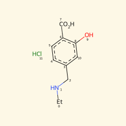 CCNCc1ccc(C(=O)O)c(O)c1.Cl